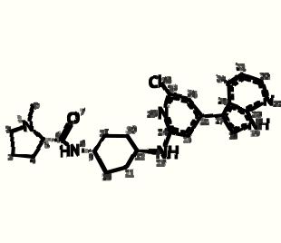 CN1CCC[C@H]1C(=O)N[C@H]1CC[C@H](Nc2cc(-c3c[nH]c4ncccc34)cc(Cl)n2)CC1